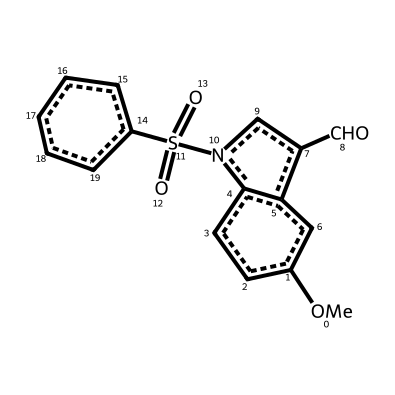 COc1ccc2c(c1)c(C=O)cn2S(=O)(=O)c1ccccc1